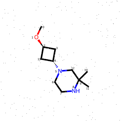 CO[C@H]1C[C@H](N2CCNC(C)(C)C2)C1